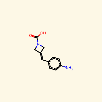 Nc1ccc(C=C2CN(C(=O)O)C2)cc1